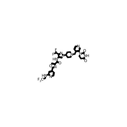 O=C1CCN(c2cnccc2CN2CCC(n3cc(NC(=O)c4coc(-c5ccnc(NCC(F)(F)F)c5)n4)c(C(F)F)n3)CC2)C(=O)N1